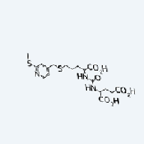 O=C(O)CCC(NC(=O)NC(CCCSCc1ccnc(SI)c1)C(=O)O)C(=O)O